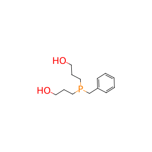 OCCCP(CCCO)Cc1ccccc1